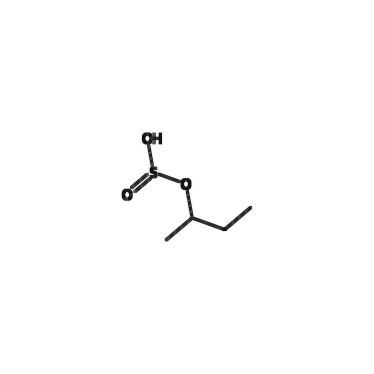 CCC(C)OS(=O)O